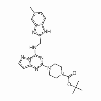 Cc1ccc2[nH]c(CNc3nc(N4CCN(C(=O)OC(C)(C)C)CC4)nc4ccnn34)nc2c1